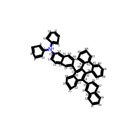 c1ccc(N(c2ccccc2)c2ccc3cc(-c4c5ccccc5c(-c5ccc6ccccc6c5)c5c6ccccc6c6ccccc6c45)ccc3c2)cc1